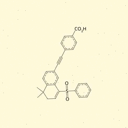 CC1(C)CC=C(S(=O)(=O)c2ccccc2)c2cc(C#Cc3ccc(C(=O)O)cc3)ccc21